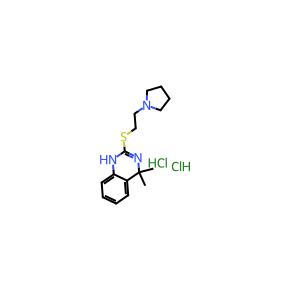 CC1(C)N=C(SCCN2CCCC2)Nc2ccccc21.Cl.Cl